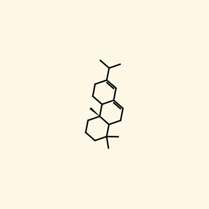 CC(C)C1=CC2=CCC3C(C)(C)CCC[C@]3(C)C2CC1